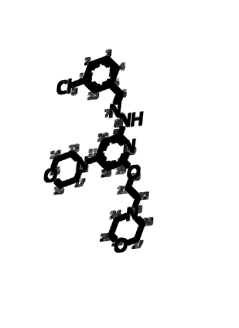 Clc1cccc(/C=N/Nc2cc(N3CCOCC3)cc(OCCN3CCOCC3)n2)c1